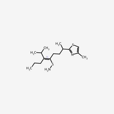 CCC/C(=C(/CCC(C)c1nc(C)cs1)SN)C(C)C